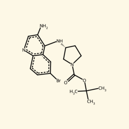 CC(C)(C)OC(=O)N1CC[C@@H](Nc2c(N)cnc3ccc(Br)cc23)C1